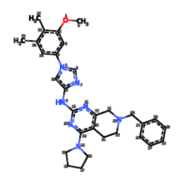 COc1cc(-n2cnc(Nc3nc4c(c(N5CCCC5)n3)CCN(Cc3ccccc3)C4)c2)cc(C)c1C